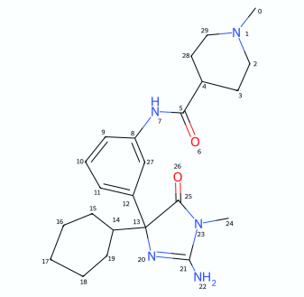 CN1CCC(C(=O)Nc2cccc(C3(C4CCCCC4)N=C(N)N(C)C3=O)c2)CC1